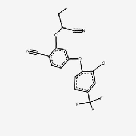 CCC(C#N)Oc1cc(Oc2ccc(C(F)(F)F)cc2Cl)ccc1C#N